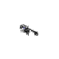 O[C@H](/C=C/[C@@H]1[C@H]2CC(CCCCCN3CCOCC3)=C[C@H]2C[C@H]1O)C1CCCC1